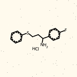 Cl.NC(CCSc1ccccc1)c1ccc(F)cc1